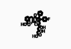 CC(C)n1c(CC[C@@H](O)C[C@@H](O)CC(=O)O)c(-c2ccc(F)cc2)c(-c2ccccc2)c1C(=O)NCc1cccc(C(=O)O)c1